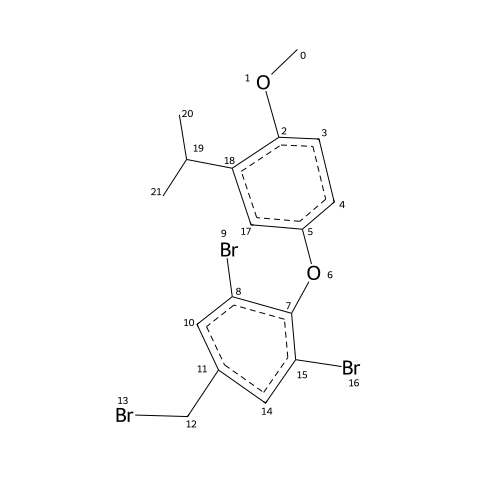 COc1ccc(Oc2c(Br)cc(CBr)cc2Br)cc1C(C)C